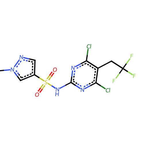 Cn1cc(S(=O)(=O)Nc2nc(Cl)c(CC(F)(F)F)c(Cl)n2)cn1